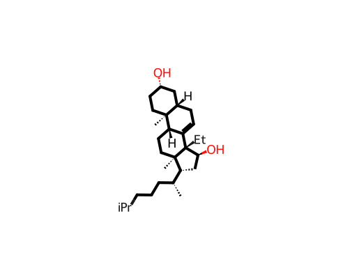 CC[C@]12C3=CC[C@H]4C[C@@H](O)CC[C@]4(C)[C@H]3CC[C@]1(C)[C@@H]([C@H](C)CCCC(C)C)C[C@@H]2O